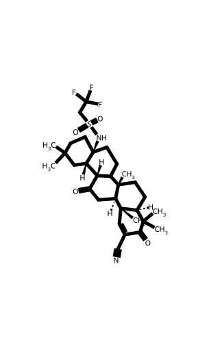 CC1(C)CC[C@]2(NS(=O)(=O)CC(F)(F)F)CCC3[C@H](C(=O)C[C@@H]4[C@@]5(C)C=C(C#N)C(=O)C(C)(C)[C@@H]5CC[C@@]34C)[C@@H]2C1